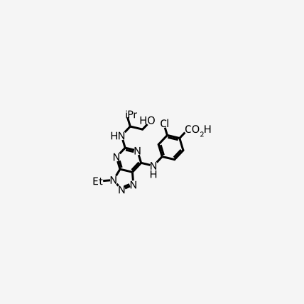 CCn1nnc2c(Nc3ccc(C(=O)O)c(Cl)c3)nc(NC(CO)C(C)C)nc21